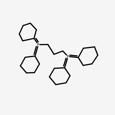 C1CCC(=P(CCCP(=C2CCCCC2)=C2CCCCC2)=C2CCCCC2)CC1